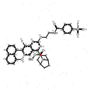 CC(C)(C)OC(=O)N1C2CCC1CN(c1nc(OCCNC(=O)c3ccc(S(=O)(=O)F)cc3)nc3c(F)c(-c4cccc5cccc(Cl)c45)ncc13)C2